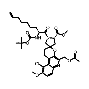 C=CCCCCC[C@H](NC(=O)OC(C)(C)C)C(=O)N1CC2(CCc3c(c(COC(C)=O)nc4ccc(OC)c(Cl)c34)O2)C[C@H]1C(=O)OC